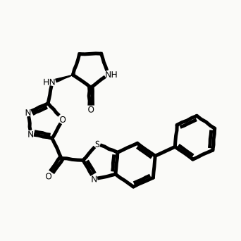 O=C(c1nnc(N[C@H]2CCNC2=O)o1)c1nc2ccc(-c3ccccc3)cc2s1